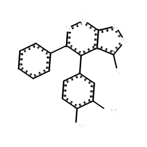 COc1ccc(-c2c(-c3ccccc3)nnc3[nH]nc(N)c23)cc1OC